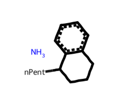 CCCCCC1CCCc2ccccc21.N